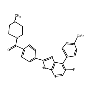 COc1ccc(-c2c(F)cnc3[nH]c(-c4ccc(C(=O)N5CCN(C)CC5)cc4)nc23)cc1